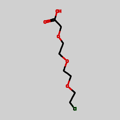 O=C(O)COCCOCCOCCCl